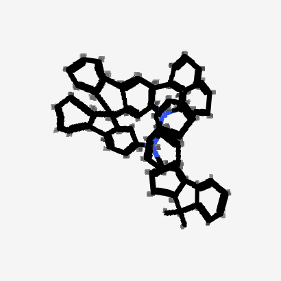 CC1(C)c2ccccc2-c2cc(N(c3ccccc3)c3ccc4c(c3)C3(c5ccccc5-4)c4ccccc4-c4cc(-c5ccccc5)c(N(c5ccccc5)c5ccccc5)cc43)ccc21